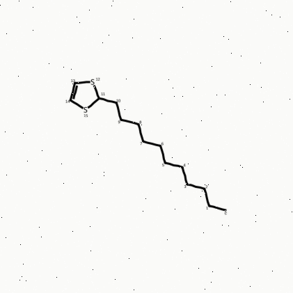 CCCCCCCCCCCC1SC=CS1